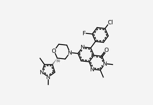 Cc1nn(C)cc1[C@H]1CN(c2cc3nc(C)n(C)c(=O)c3c(-c3ccc(Cl)cc3F)n2)CCO1